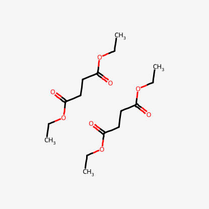 CCOC(=O)CCC(=O)OCC.CCOC(=O)CCC(=O)OCC